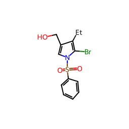 CCc1c(CO)cn(S(=O)(=O)c2ccccc2)c1Br